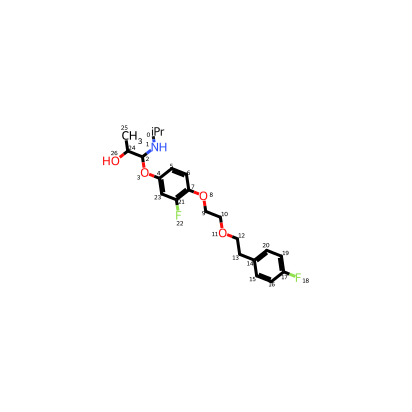 CC(C)NC(Oc1ccc(OCCOCCc2ccc(F)cc2)c(F)c1)C(C)O